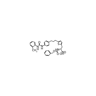 Cc1ccccc1NC(=O)Nc1ccc(CCCc2ccc(CC(NC(=O)OCc3ccccc3)C(=O)O)s2)cc1